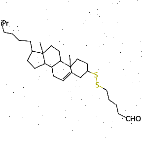 CC(C)CCCCC1CCC2C3CC=C4CC(SSCCCCC=O)CCC4(C)C3CCC12C